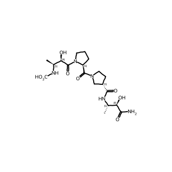 C[C@H](NC(=O)[C@H]1CCN(C(=O)[C@@H]2CCCN2C(=O)[C@H](O)[C@H](C)NC(=O)O)C1)[C@@H](O)C(N)=O